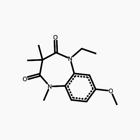 CCN1C(=O)C(C)(C)C(=O)N(C)c2ccc(OC)cc21